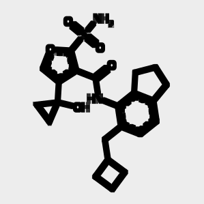 NS(=O)(=O)c1occ(C2(O)CC2)c1C(=O)Nc1c(CC2CCC2)ccc2c1CCC2